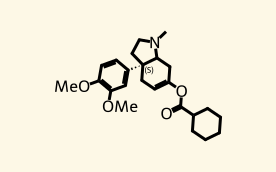 COc1ccc([C@@]23CC=C(OC(=O)C4CCCCC4)CC2N(C)CC3)cc1OC